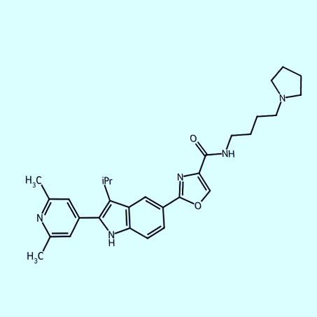 Cc1cc(-c2[nH]c3ccc(-c4nc(C(=O)NCCCCN5CCCC5)co4)cc3c2C(C)C)cc(C)n1